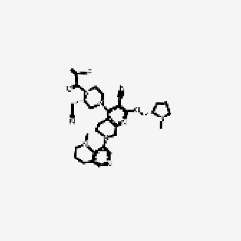 C=C(F)C(=O)N1CCN(c2c(C#N)c(OC[C@@H]3CCCN3C)nc3c2CCN(c2cncc4c2N(C)CCC4)C3)C[C@@H]1CC#N